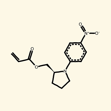 C=CC(=O)OC[C@@H]1CCCN1c1ccc([N+](=O)[O-])cc1